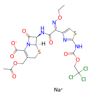 CCON=C(C(=O)N[C@@H]1C(=O)N2C(C(=O)[O-])=C(COC(C)=O)CS[C@H]12)c1csc(NC(=O)OCC(Cl)(Cl)Cl)n1.[Na+]